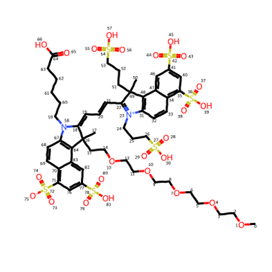 COCCOCCOCCOCCOCCC1(C)/C(=C\C=C\C2=[N+](CCCS(=O)(=O)O)c3ccc4c(S(=O)(=O)O)cc(S(=O)(=O)O)cc4c3C2(C)CCCS(=O)(=O)O)N(CCCCCC(=O)O)c2ccc3c(S(=O)(=O)[O-])cc(S(=O)(=O)O)cc3c21